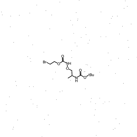 CC(CONC(=O)OCCBr)NC(=O)OC(C)(C)C